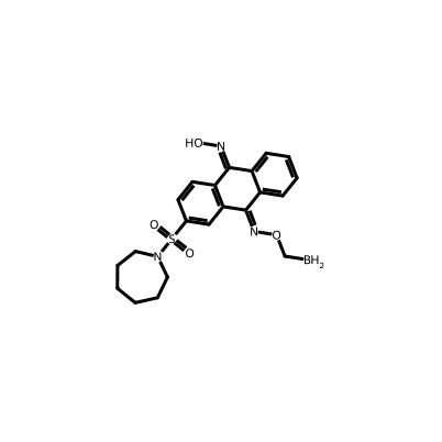 BCO/N=C1\c2ccccc2/C(=N/O)c2ccc(S(=O)(=O)N3CCCCCC3)cc21